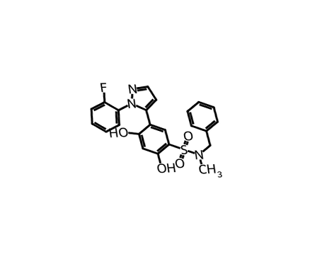 CN(Cc1ccccc1)S(=O)(=O)c1cc(-c2ccnn2-c2ccccc2F)c(O)cc1O